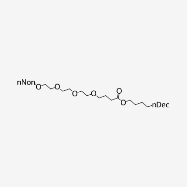 CCCCCCCCCCCCCCOC(=O)CCCOCCOCCOCCOCCCCCCCCC